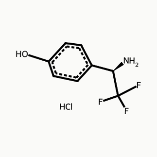 Cl.N[C@H](c1ccc(O)cc1)C(F)(F)F